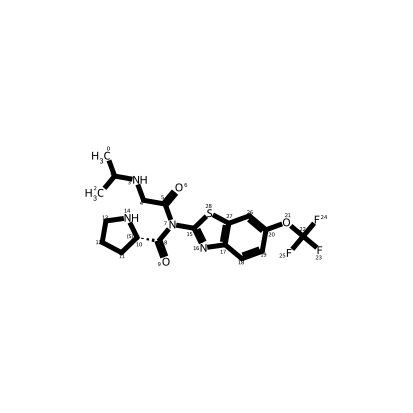 CC(C)NCC(=O)N(C(=O)[C@@H]1CCCN1)c1nc2ccc(OC(F)(F)F)cc2s1